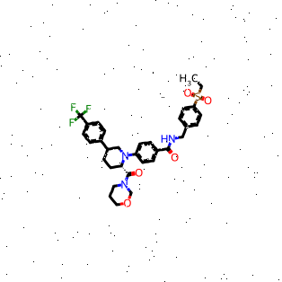 CCS(=O)(=O)c1ccc(CNC(=O)c2ccc(N3CC(c4ccc(C(F)(F)F)cc4)CC[C@H]3C(=O)N3CCCOC3)cc2)cc1